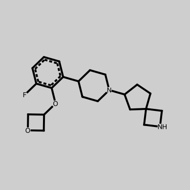 Fc1cccc(C2CCN(C3CCC4(CNC4)C3)CC2)c1OC1COC1